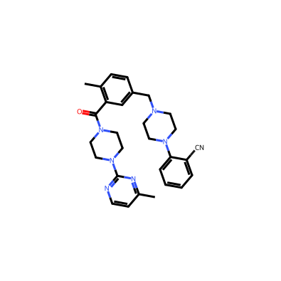 Cc1ccnc(N2CCN(C(=O)c3cc(CN4CCN(c5ccccc5C#N)CC4)ccc3C)CC2)n1